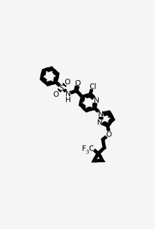 O=C(NS(=O)(=O)c1ccccc1)c1ccc(-n2ccc(OCCC3(C(F)(F)F)CC3)n2)nc1Cl